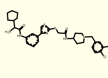 NC(C(=O)Nc1cccc(-c2csc(SCC(=O)NC3CCN(Cc4ccc(Cl)c(Cl)c4)CC3)n2)c1)C1CCCCC1